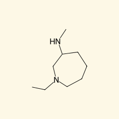 CCN1CCCCC(NC)C1